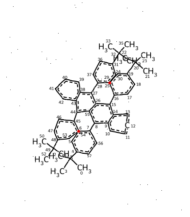 CC(C)(C)c1ccc(-c2c3ccccc3c(-c3ccc(C(C)(C)C)cc3)c3c(-c4ccc(C(C)(C)C)cc4)c4ccccc4c(-c4ccc(C(C)(C)C)cc4)c23)cc1